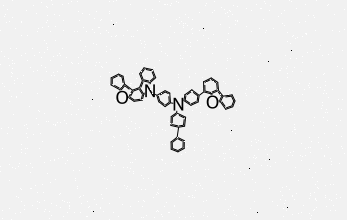 c1ccc(-c2ccc(N(c3ccc(-c4cccc5c4oc4ccccc45)cc3)c3ccc(-n4c5ccccc5c5c6c(ccc54)oc4ccccc46)cc3)cc2)cc1